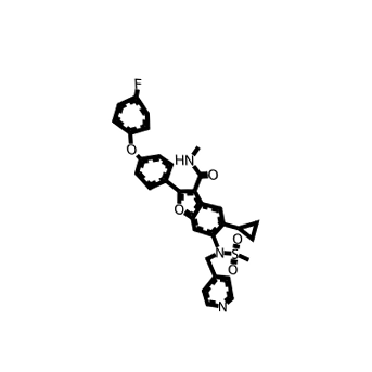 CNC(=O)c1c(-c2ccc(Oc3ccc(F)cc3)cc2)oc2cc(N(Cc3ccncc3)S(C)(=O)=O)c(C3CC3)cc12